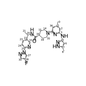 Cc1cc(Nc2cc(C)[nH]n2)nc(N2CCC(C(=O)NC(C)c3ccc(-n4cc(F)cn4)nc3)CC2)c1